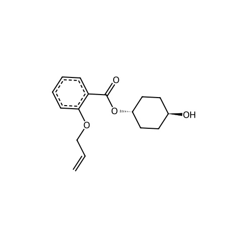 C=CCOc1ccccc1C(=O)O[C@H]1CC[C@H](O)CC1